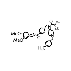 CCC(CC)C(=O)N(Cc1ccc(C(=O)NCc2ccc(OC)c(OC)c2)cc1)C1CCN(Cc2ccc(C)cc2)CC1